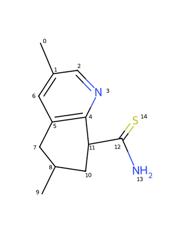 Cc1cnc2c(c1)CC(C)CC2C(N)=S